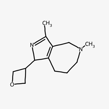 CC1=NC(C2COC2)C2=C1CN(C)CCC2